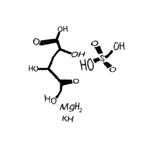 O=C(O)C(O)C(O)C(=O)O.O=S(=O)(O)O.[KH].[MgH2]